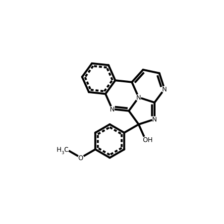 COc1ccc(C2(O)N=C3N=CC=C4c5ccccc5N=C2N43)cc1